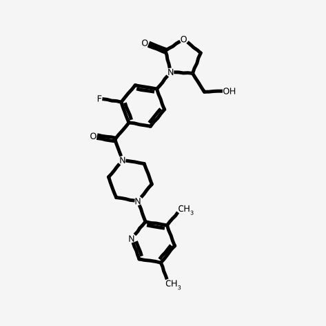 Cc1cnc(N2CCN(C(=O)c3ccc(N4C(=O)OCC4CO)cc3F)CC2)c(C)c1